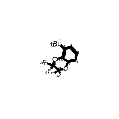 CC(C)(C)c1cccc2c1OC(F)(F)C(F)(F)O2